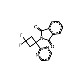 O=C1c2ccccc2C(=O)N1C1(c2ncccn2)CC(F)(F)C1